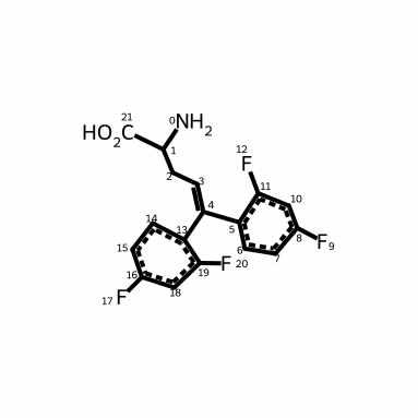 NC(CC=C(c1ccc(F)cc1F)c1ccc(F)cc1F)C(=O)O